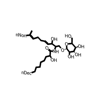 CCCCCCCCCCCCCCCCC(O)C(=O)NC(CO[C@@H]1OC(CO)[C@@H](O)[C@H](O)C1O)C(O)/C=C/CC/C=C(\C)CCCCCCCCC